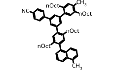 CCCCCCCCc1cc(-c2cc(-c3ccc(C#N)cc3)cc(-c3cc(CCCCCCCC)c(-c4cccc5c(C)cccc45)cc3CCCCCCCC)c2)c(CCCCCCCC)cc1C